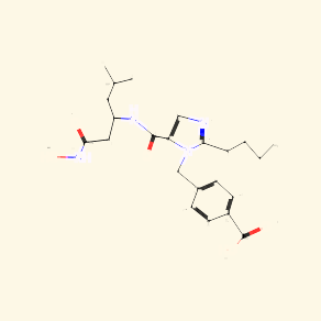 CCCCc1ncc(C(=O)NC(CC(=O)NO)CC(C)C)n1Cc1ccc(C(=O)O)cc1